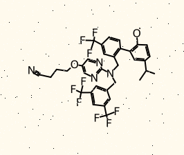 COc1ccc(C(C)C)cc1-c1ccc(C(F)(F)F)cc1CN(Cc1cc(C(F)(F)F)cc(C(F)(F)F)c1)c1ncc(OCCCC#N)cn1